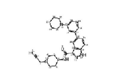 C#CCN1CCC(NC(=O)c2n[nH]c3ccc(-c4cncc(N5CCCCC5)c4)cc23)CC1